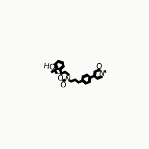 Cn1ccc(-c2ccc(CCCN3CC[C@](CC(C)(C)O)(c4ccccc4)OC3=O)cc2)cc1=O